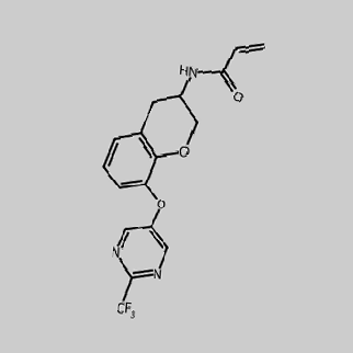 C=CC(=O)NC1COc2c(cccc2Oc2cnc(C(F)(F)F)nc2)C1